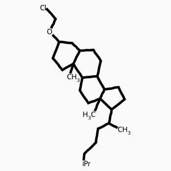 CC(C)CCCC(C)C1CCC2C3CCC4CC(OCCl)CCC4(C)C3CCC12C